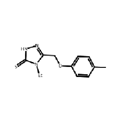 CCn1c(COc2ccc(C)cc2)n[nH]c1=S